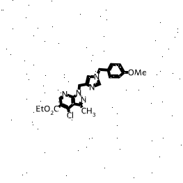 CCOC(=O)c1cnc2c(c(C)nn2Cc2cn(Cc3ccc(OC)cc3)cn2)c1Cl